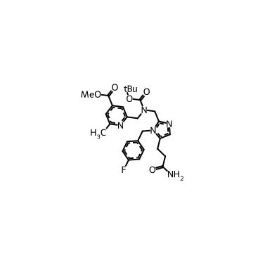 COC(=O)c1cc(C)nc(CN(Cc2ncc(CCC(N)=O)n2Cc2ccc(F)cc2)C(=O)OC(C)(C)C)c1